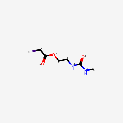 CNC(=O)NCCOC(=O)CI